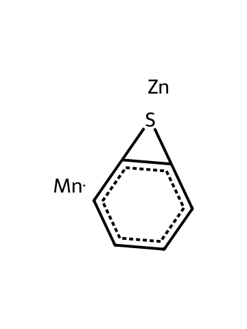 [Mn].[Zn].c1ccc2c(c1)S2